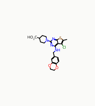 Cc1sc2nc(N3CCC(C(=O)O)CC3)nc(NCc3ccc4c(c3)OCCO4)c2c1Cl